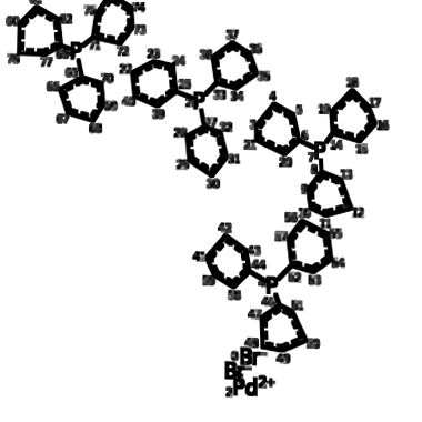 [Br-].[Br-].[Pd+2].c1ccc(P(c2ccccc2)c2ccccc2)cc1.c1ccc(P(c2ccccc2)c2ccccc2)cc1.c1ccc(P(c2ccccc2)c2ccccc2)cc1.c1ccc(P(c2ccccc2)c2ccccc2)cc1